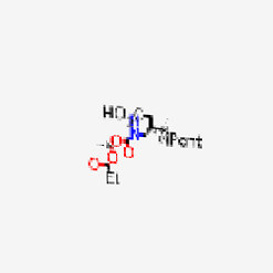 CCC[C@@H](C)[C@@H](C)[C@H](CNC(=O)O[C@@H](C)OC(=O)CC)CC(=O)O